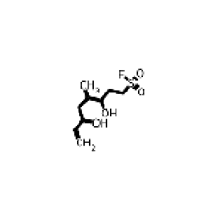 C=CC(O)CC(C)C(O)CCS(=O)(=O)F